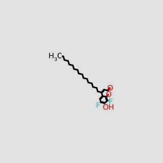 CCCCCCCCCCCCCCCCCc1cc(=O)oc2c(F)c(O)c(F)cc12